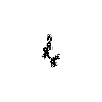 CS(=O)(=O)c1ccc(NCC#Cc2sc3c(NC4CCC(N5CCS(=O)(=O)CC5)CC4)cccc3c2CC(F)(F)F)c(OCC(F)(F)F)c1